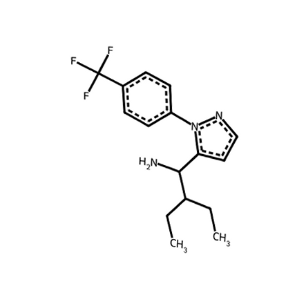 CCC(CC)C(N)c1ccnn1-c1ccc(C(F)(F)F)cc1